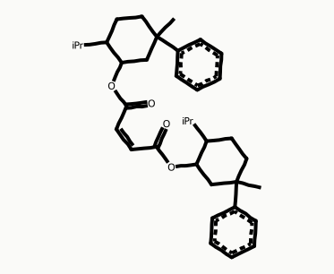 CC(C)C1CCC(C)(c2ccccc2)CC1OC(=O)/C=C\C(=O)OC1CC(C)(c2ccccc2)CCC1C(C)C